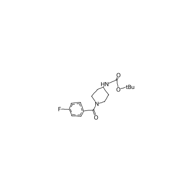 CC(C)(C)OC(=O)NC1CCN(C(=O)c2ccc(F)cc2)CC1